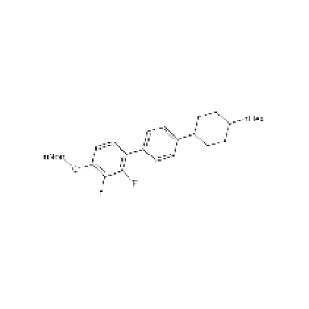 CCCCCCCCCOc1ccc(-c2ccc(C3CCC(CCCCCC)CC3)cc2)c(F)c1F